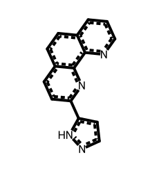 c1cnc2c(c1)ccc1ccc(-c3ccn[nH]3)nc12